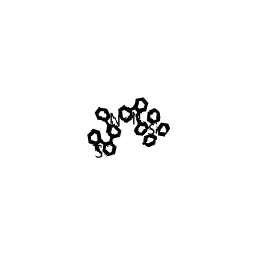 c1ccc([Si](c2ccccc2)(c2ccccc2)c2cccc(-n3c4ccccc4c4ccc(-n5c6ccccc6c6cc(-c7cccc8sc9ccccc9c78)ccc65)cc43)c2)cc1